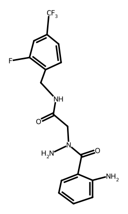 Nc1ccccc1C(=O)N(N)CC(=O)NCc1ccc(C(F)(F)F)cc1F